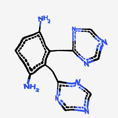 Nc1ccc(N)c(-c2ncncn2)c1-c1ncncn1